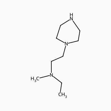 CCN(C)CCN1CCNCC1